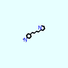 CN(C)c1ccc(/C=C/C=C/c2ccccn2)cc1